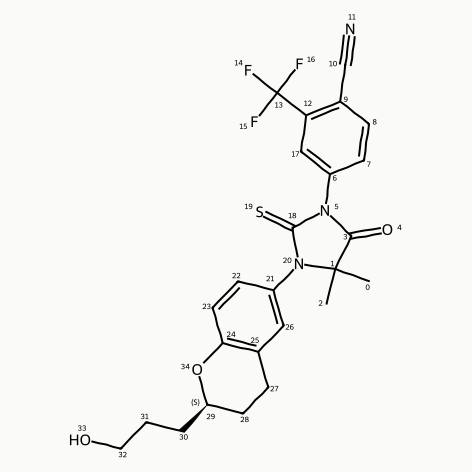 CC1(C)C(=O)N(c2ccc(C#N)c(C(F)(F)F)c2)C(=S)N1c1ccc2c(c1)CC[C@@H](CCCO)O2